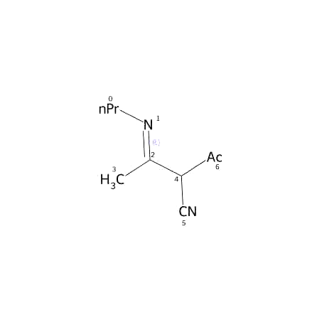 CCC/N=C(\C)C(C#N)C(C)=O